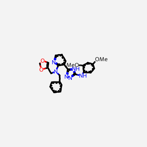 COc1ccc(Nc2nnc(-c3cccnc3N(CC3=COCO3)Cc3ccccc3)[nH]2)c(OC)c1